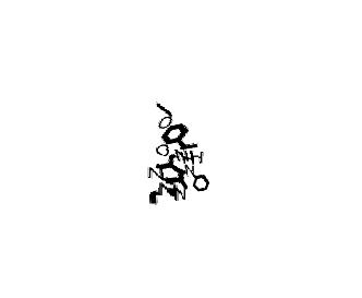 CCOc1ccc(C(C)NC(=O)c2cnc3c(cnn3CC)c2NC2CCCCC2)cc1